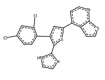 Clc1ccc(-c2cc(-c3ccnc4sccc34)sc2-c2ncc[nH]2)c(Cl)c1